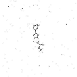 CC(C)(C)OC(=O)NCc1nc(-c2cn[nH]c2)cs1